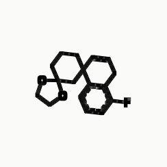 Fc1cccc2c1CC=CC21CCCC2(C1)OCCO2